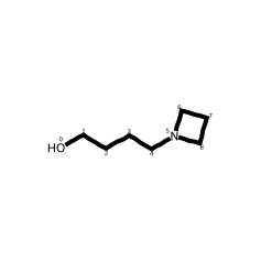 OCCCCN1CCC1